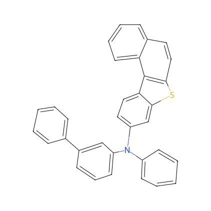 c1ccc(-c2cccc(N(c3ccccc3)c3ccc4c(c3)sc3ccc5ccccc5c34)c2)cc1